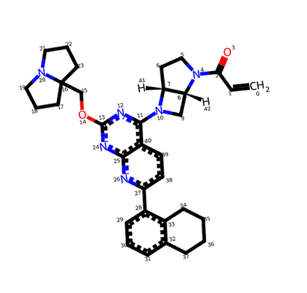 C=CC(=O)N1CC[C@@H]2[C@H]1CN2c1nc(OCC23CCCN2CCC3)nc2nc(-c3cccc4c3CCCC4)ccc12